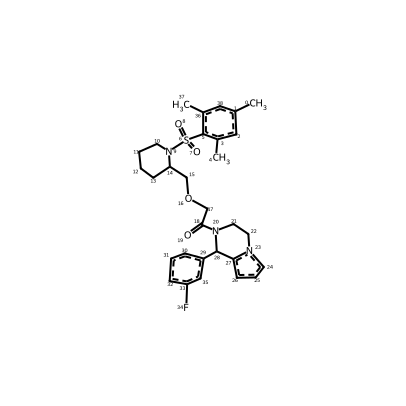 Cc1cc(C)c(S(=O)(=O)N2CCCCC2COCC(=O)N2CCn3cccc3C2c2cccc(F)c2)c(C)c1